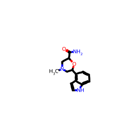 CN1CC(C(N)=O)OC(c2cccc3[nH]ccc23)C1